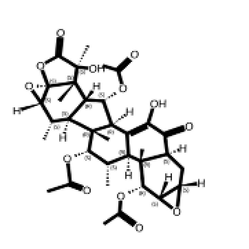 CC(=O)O[C@H]1[C@@H]2[C@H]([C@H](C)[C@@H]3O[C@@]34OC(=O)[C@@](C)(O)[C@]24C)[C@]2(C)[C@@H]1C1=C(O)C(=O)[C@H]3C[C@@H]4O[C@@H]4[C@H](OC(C)=O)[C@]3(C)[C@H]1[C@H](C)[C@@H]2OC(C)=O